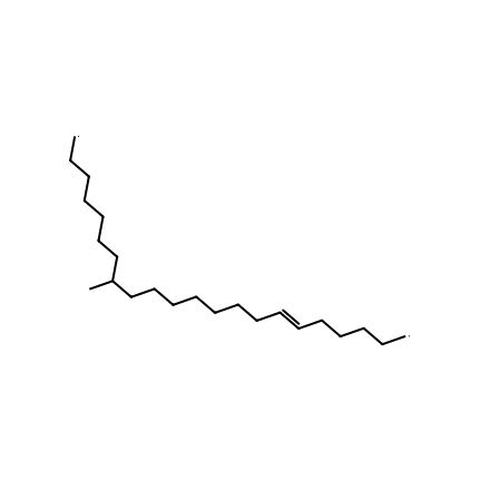 [CH2]CCCC/C=C/CCCCCCCC(C)CCCCCC[CH2]